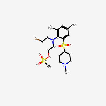 Cc1cc([N+](=O)[O-])cc(S(=O)(=O)C2CCN(C)CC2)c1N(CCBr)CCOS(C)(=O)=O